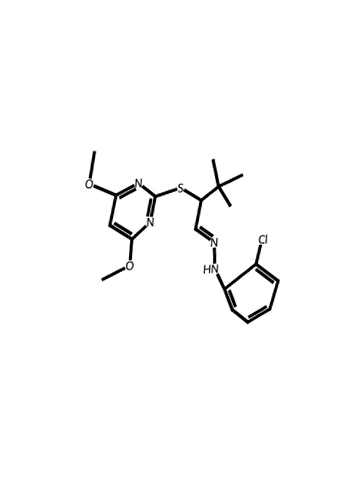 COc1cc(OC)nc(SC(C=NNc2ccccc2Cl)C(C)(C)C)n1